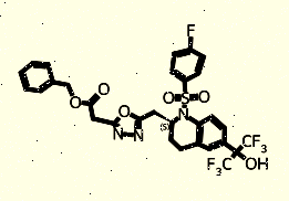 O=C(Cc1nnc(C[C@@H]2CCc3cc(C(O)(C(F)(F)F)C(F)(F)F)ccc3N2S(=O)(=O)c2ccc(F)cc2)o1)OCc1ccccc1